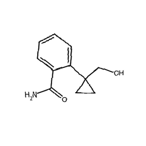 NC(=O)c1ccccc1C1(CO)CC1